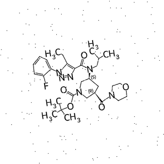 CCc1c(C(=O)N(CC(C)C)[C@H]2C[C@@H](C(=O)N3CCOCC3)CN(C(=O)OC(C)(C)C)C2)nnn1-c1ccccc1F